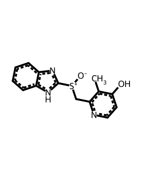 Cc1c(O)ccnc1C[S+]([O-])c1nc2ccccc2[nH]1